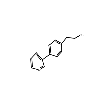 SCCc1ccc(-c2cccnc2)cc1